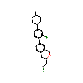 CC1CCC(c2ccc(-c3ccc4c(c3)COC(CCF)C4)c(F)c2)CC1